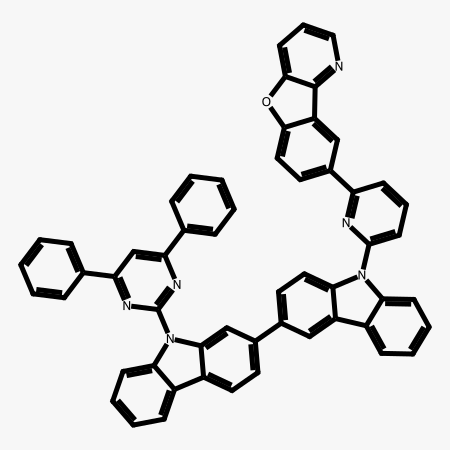 c1ccc(-c2cc(-c3ccccc3)nc(-n3c4ccccc4c4ccc(-c5ccc6c(c5)c5ccccc5n6-c5cccc(-c6ccc7oc8cccnc8c7c6)n5)cc43)n2)cc1